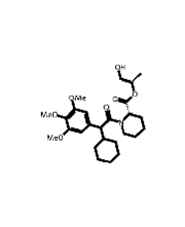 COc1cc(C(C(=O)N2CCCC[C@H]2C(=O)O[C@H](C)CO)C2CCCCC2)cc(OC)c1OC